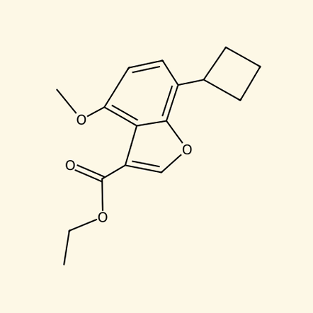 CCOC(=O)c1coc2c(C3CCC3)ccc(OC)c12